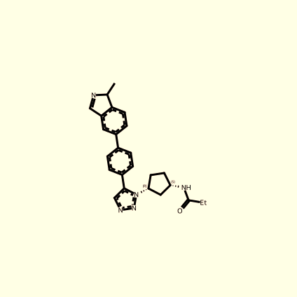 CCC(=O)N[C@H]1CC[C@@H](n2nncc2-c2ccc(-c3ccc4c(c3)C=NC4C)cc2)C1